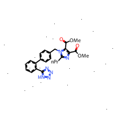 CCCc1nc(C(=O)OC)c(C(=O)OC)n1Cc1ccc(-c2ccccc2-c2nnn[nH]2)cc1